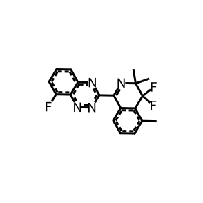 Cc1cccc2c1C(F)(F)C(C)(C)N=C2c1nnc2c(F)cccc2n1